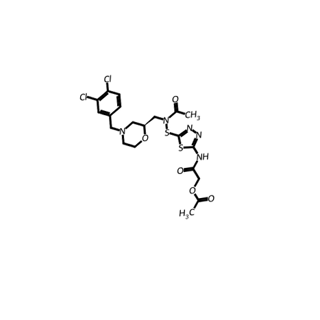 CC(=O)OCC(=O)Nc1nnc(SN(C[C@@H]2CN(Cc3ccc(Cl)c(Cl)c3)CCO2)C(C)=O)s1